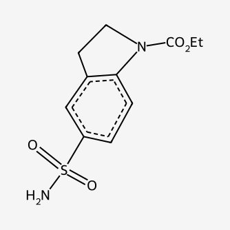 CCOC(=O)N1CCc2cc(S(N)(=O)=O)ccc21